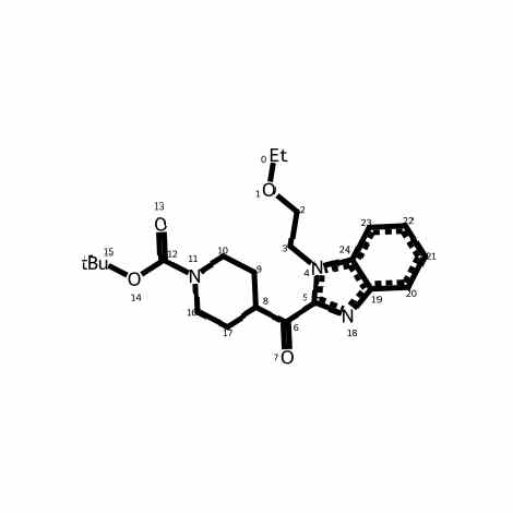 CCOCCn1c(C(=O)C2CCN(C(=O)OC(C)(C)C)CC2)nc2ccccc21